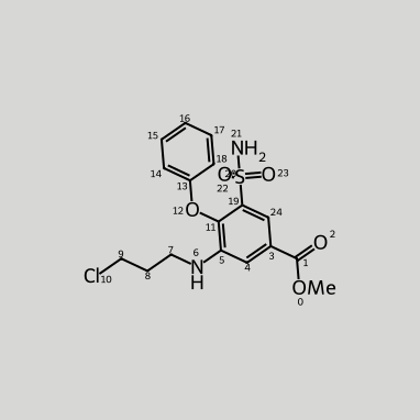 COC(=O)c1cc(NCCCCl)c(Oc2ccccc2)c(S(N)(=O)=O)c1